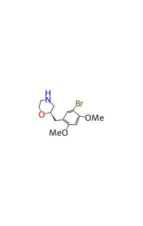 COc1cc(OC)c(C[C@@H]2CNCCO2)cc1Br